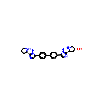 O[C@H]1CN[C@H](c2ncc(-c3ccc(-c4ccc(-c5cnc([C@@H]6CCCN6)[nH]5)cc4)cc3)[nH]2)C1